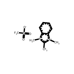 Cn1c(C(F)(F)F)[n+](C)c2ccccc21.O=S(=O)([O-])C(F)(F)F